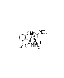 Cc1cccc(C)c1N(C(N)=O)c1ccc([N+](=O)[O-])cc1O